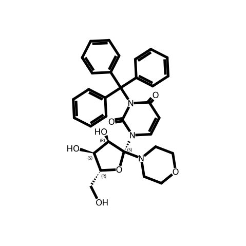 O=c1ccn([C@]2(N3CCOCC3)O[C@H](CO)[C@@H](O)[C@H]2O)c(=O)n1C(c1ccccc1)(c1ccccc1)c1ccccc1